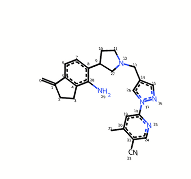 C=C1CCc2c1ccc(C1CCN(Cc3cnn(-c4cc(C)c(C#N)cn4)c3)C1)c2N